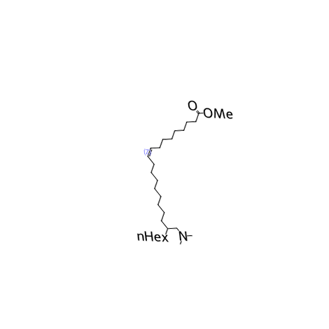 CCCCCCC(CCCCCCCC/C=C\CCCCCCCC(=O)OC)CN(C)C